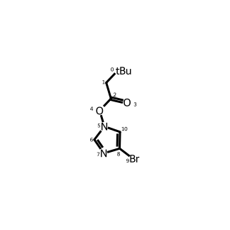 CC(C)(C)CC(=O)On1cnc(Br)c1